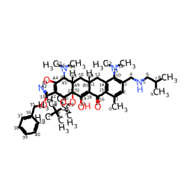 Cc1cc(CNCC(C)C)c(N(C)C)c2c1C(=O)C1=C(O)[C@]3(O[Si](C)(C)C(C)(C)C)C(=O)c4c(OCc5ccccc5)noc4[C@@H](N(C)C)[C@@H]3C[C@@H]1C2